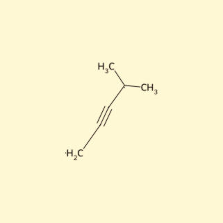 [CH2]C#C[C](C)C